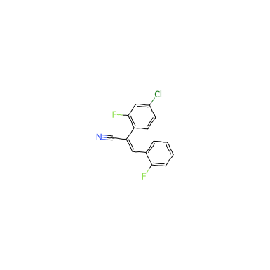 N#C/C(=C/c1ccccc1F)c1ccc(Cl)cc1F